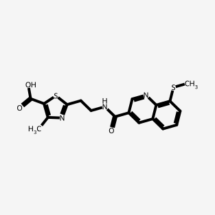 CSc1cccc2cc(C(=O)NCCc3nc(C)c(C(=O)O)s3)cnc12